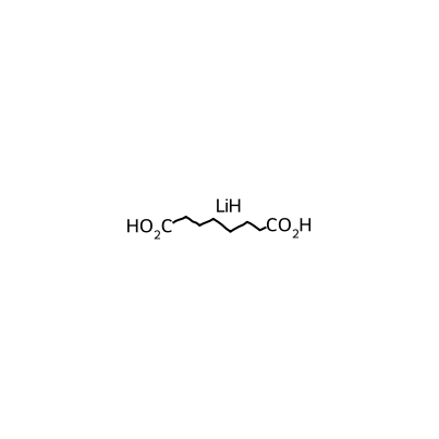 O=C(O)CCCCCCC(=O)O.[LiH]